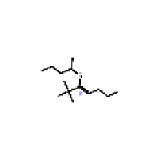 CCC/C=C(\SC(C)CCC)C(C)(C)C